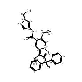 CCc1c(C(O)(c2ccccc2)c2ccccc2)nn2cc(OC)c(C(=O)Nc3cnn(CC)c3)cc12